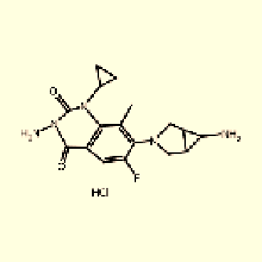 Cc1c(N2CC3C(N)C3C2)c(F)cc2c(=O)n(N)c(=O)n(C3CC3)c12.Cl